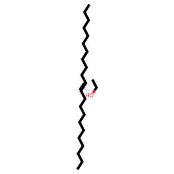 CCCCCCCCCC/C=C/CCCCCCCCCC.CCO